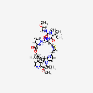 CCn1c(-c2cccnc2[C@H](C)OC)c2c3nc(ccc31)-c1csc(n1)C[C@H](NC(=O)C(C(C)C)N(C)C(=O)N1CC(OC)C1)C(=O)N1CCC[C@H](N1)C(=O)OCC(C)(C)C2